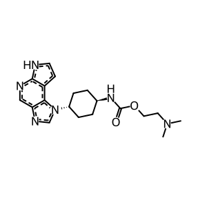 CN(C)CCOC(=O)N[C@H]1CC[C@H](n2cnc3cnc4[nH]ccc4c32)CC1